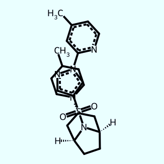 Cc1ccnc(-n2cc(S(=O)(=O)N3[C@@H]4CC[C@H]3C[C@H](N3CCC(C)CC3)C4)cn2)c1